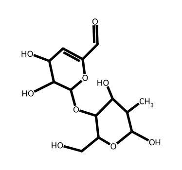 CC1C(O)OC(CO)C(OC2OC(C=O)=CC(O)C2O)C1O